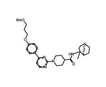 COCCCOc1ccc(-c2ccnc(N3CCC(C(=O)NC4(C)CCN5CCC4CC5)CC3)n2)cc1